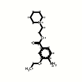 CCOc1cc(C(=O)OCCN2CCCCC2)ccc1N